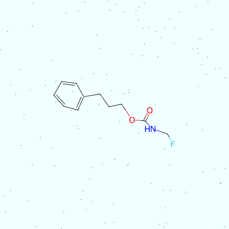 O=C(NCF)OCCCc1ccccc1